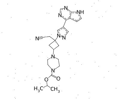 CC(C)OC(=O)N1CCN(C2CC(CC#N)(n3cc(-c4ncnc5[nH]ccc45)cn3)C2)CC1